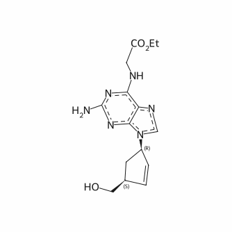 CCOC(=O)CNc1nc(N)nc2c1ncn2[C@H]1C=C[C@@H](CO)C1